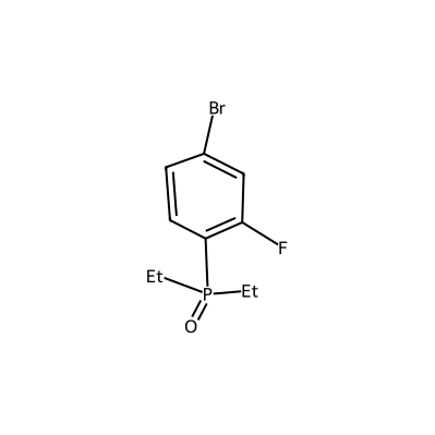 CCP(=O)(CC)c1ccc(Br)cc1F